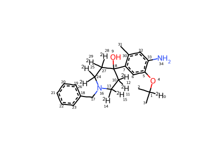 [2H]C(C)(C)Oc1cc(C2(O)C([2H])([2H])C([2H])([2H])N(Cc3ccccc3)C([2H])([2H])C2([2H])[2H])c(C)cc1N